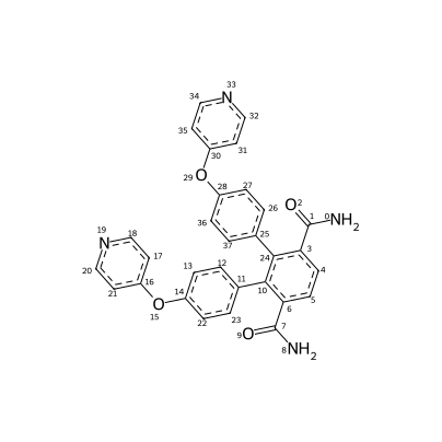 NC(=O)c1ccc(C(N)=O)c(-c2ccc(Oc3ccncc3)cc2)c1-c1ccc(Oc2ccncc2)cc1